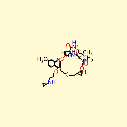 Cc1ccc2c(OCCCNC3CC3)c3c(nc2c1)O[C@@H]1C[C@@H](C(N)=O)N(C1)C(=O)[C@H](C(C)(C)C)NC(=O)O[C@@H]1CC1CCCCC3